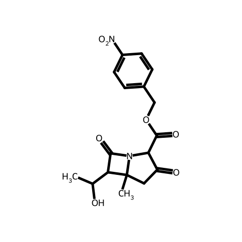 CC(O)C1C(=O)N2C(C(=O)OCc3ccc([N+](=O)[O-])cc3)C(=O)CC12C